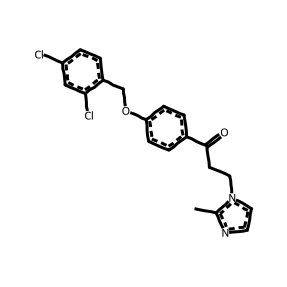 Cc1nccn1CCC(=O)c1ccc(OCc2ccc(Cl)cc2Cl)cc1